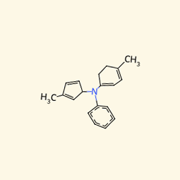 CC1=CC(N(C2=CC=C(C)CC2)c2ccccc2)C=C1